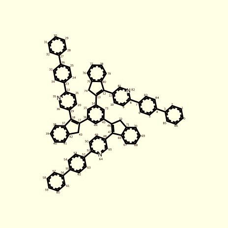 c1ccc(-c2ccc(-c3ccc(C4=C(c5cc(C6=C(c7ccc(-c8ccc(-c9ccccc9)cc8)nc7)c7ccccc7C6)cc(C6=C(c7ccc(-c8ccc(-c9ccccc9)cc8)nc7)c7ccccc7C6)c5)Cc5ccccc54)cn3)cc2)cc1